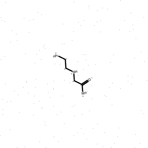 CCCCCNCC([NH])=O